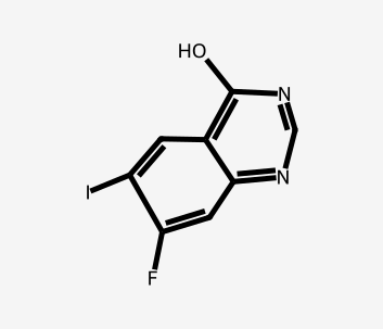 Oc1ncnc2cc(F)c(I)cc12